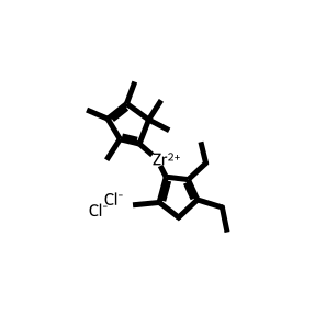 CCC1=C(CC)[C]([Zr+2][C]2=C(C)C(C)=C(C)C2(C)C)=C(C)C1.[Cl-].[Cl-]